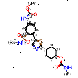 CC(C)NC(=O)O[C@H]1CC[C@H](c2ncc(-c3ccc(NC(=O)OC(C)C)cc3S(=O)(=O)NC(C)(C)C)s2)CC1